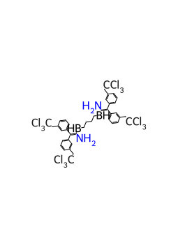 NC(BCCCCBC(N)=C(c1cccc(CC(Cl)(Cl)Cl)c1)c1cccc(CC(Cl)(Cl)Cl)c1)=C(c1cccc(CC(Cl)(Cl)Cl)c1)c1cccc(CC(Cl)(Cl)Cl)c1